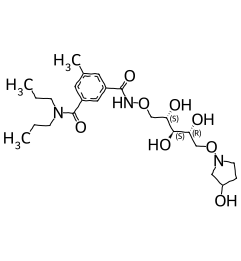 CCCN(CCC)C(=O)c1cc(C)cc(C(=O)NOC[C@H](O)[C@H](O)[C@H](O)CON2CCC(O)C2)c1